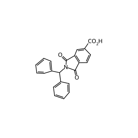 O=C(O)c1ccc2c(c1)C(=O)N(C(c1ccccc1)c1ccccc1)C2=O